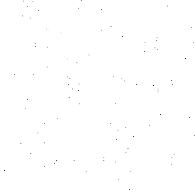 COc1ccc(CNc2ccc3cc(/C=C\C(=O)Nc4ccccc4N)ccc3n2)cc1